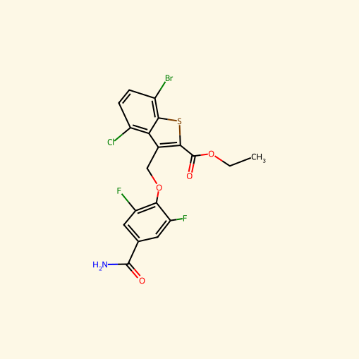 CCOC(=O)c1sc2c(Br)ccc(Cl)c2c1COc1c(F)cc(C(N)=O)cc1F